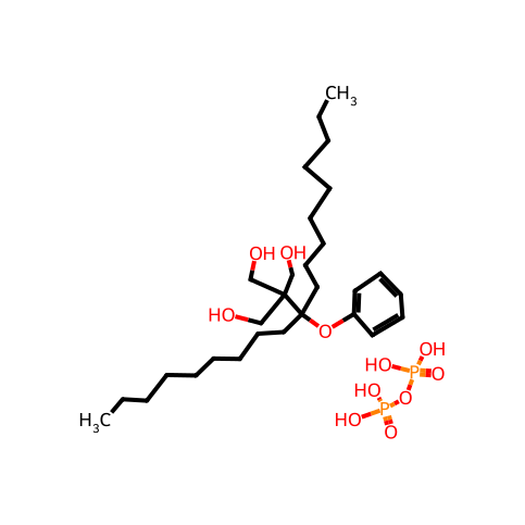 CCCCCCCCCC(CCCCCCCCC)(Oc1ccccc1)C(CO)(CO)CO.O=P(O)(O)OP(=O)(O)O